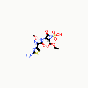 CCOC(=O)[C@H]1[C@@H](NC(=O)/C(=N\OC)c2csc(N)n2)C(=O)N1S(=O)(=O)O